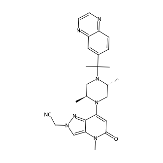 C[C@@H]1CN(c2cc(=O)n(C)c3cn(CC#N)nc23)[C@@H](C)CN1C(C)(C)c1ccc2nccnc2c1